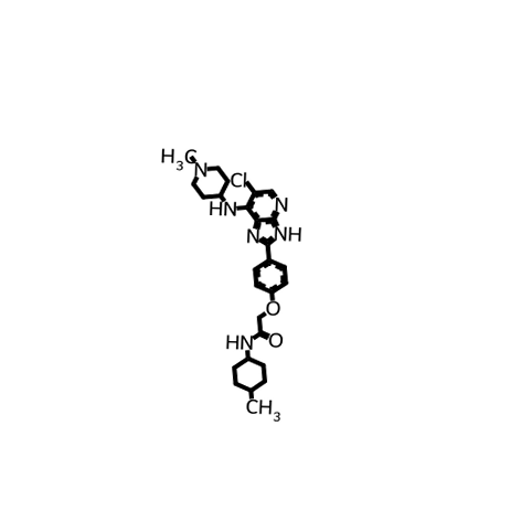 CC1CCC(NC(=O)COc2ccc(-c3nc4c(NC5CCN(C)CC5)c(Cl)cnc4[nH]3)cc2)CC1